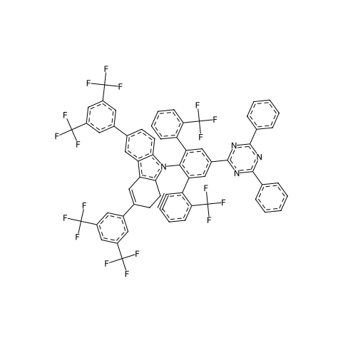 FC(F)(F)c1cc(C2=Cc3c(n(-c4c(-c5c#cccc5C(F)(F)F)cc(-c5nc(-c6ccccc6)nc(-c6ccccc6)n5)cc4-c4ccccc4C(F)(F)F)c4ccc(-c5cc(C(F)(F)F)cc(C(F)(F)F)c5)cc34)CC2)cc(C(F)(F)F)c1